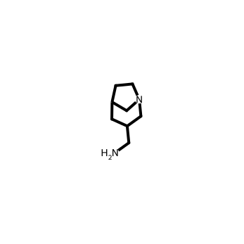 NCC1CC2CCN(C1)C2